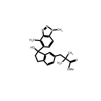 COC(=O)C(C)(C)Cc1ccc2c(c1)C(O)(c1ccc3c(nnn3C)c1C)CC2